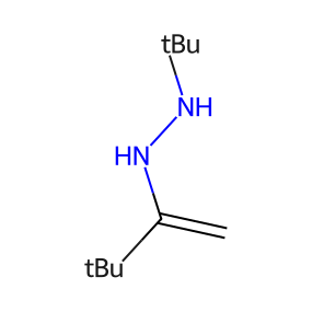 C=C(NNC(C)(C)C)C(C)(C)C